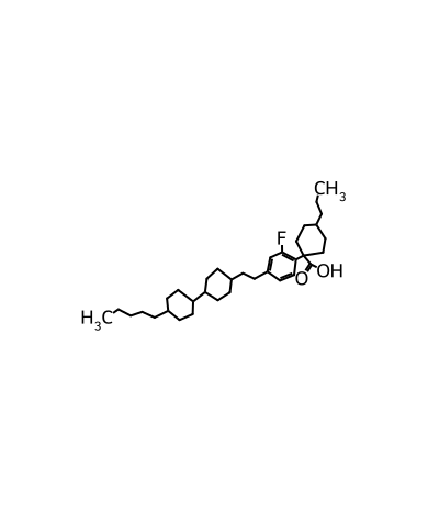 CCCCCC1CCC(C2CCC(CCc3ccc(C4(C(=O)O)CCC(CCC)CC4)c(F)c3)CC2)CC1